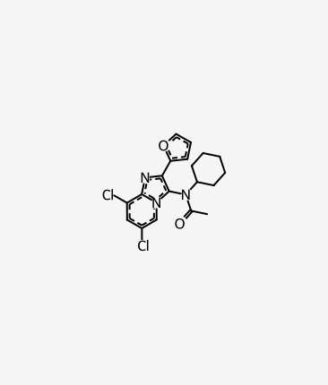 CC(=O)N(c1c(-c2ccco2)nc2c(Cl)cc(Cl)cn12)C1CCCCC1